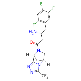 N[C@@H](CC(=O)N1C[C@@H]2C[C@H]1c1nnc(C(F)(F)F)n12)Cc1cc(F)c(F)cc1F